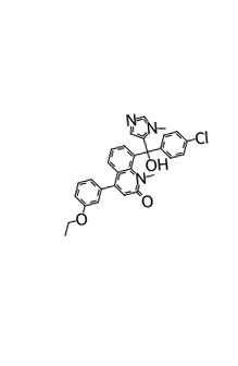 CCOc1cccc(-c2cc(=O)n(C)c3c(C(O)(c4ccc(Cl)cc4)c4cncn4C)cccc23)c1